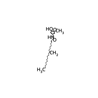 C=C(CCCCCC=CC(=O)NCc1ccc(O)c(OC)c1)CCCCCCCCCCC